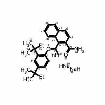 CCCC(Oc1ccc(C(C)(C)CC)cc1C(C)(C)CC)c1c(C(N)=O)ccc2ccccc12.[NaH].[NaH]